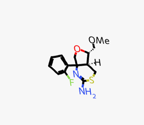 COC[C@H]1OCC2(c3ccccc3F)N=C(N)SC[C@H]12